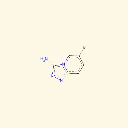 Nc1nnc2ccc(Br)cn12